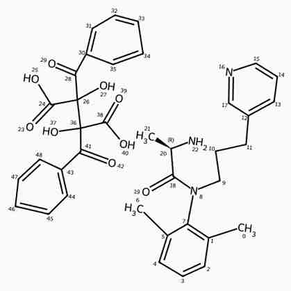 Cc1cccc(C)c1N(CCCc1cccnc1)C(=O)[C@@H](C)N.O=C(O)C(O)(C(=O)c1ccccc1)C(O)(C(=O)O)C(=O)c1ccccc1